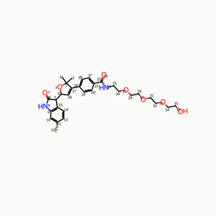 CC1(C)OC(C2C(=O)Nc3cc(F)ccc32)C=C1c1ccc(C(=O)NCCOCCOCCOCCO)cc1